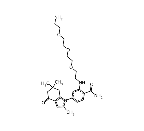 Cc1cc2c(n1-c1ccc(C(N)=O)c(NCCOCCOCCOCCN)c1)CC(C)(C)CC2=O